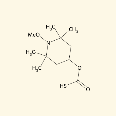 CON1C(C)(C)CC(OC(=O)S)CC1(C)C